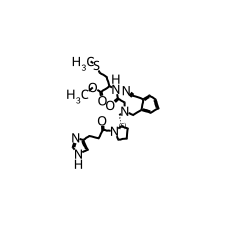 COC(=O)C(CCSC)NC(=O)CN(Cc1ccccc1C#N)C[C@@H]1CCCN1C(=O)CCc1c[nH]cn1